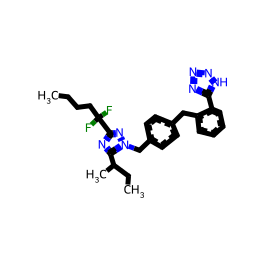 CCCCC(F)(F)c1nc(C(C)CC)n(Cc2ccc(Cc3ccccc3-c3nnn[nH]3)cc2)n1